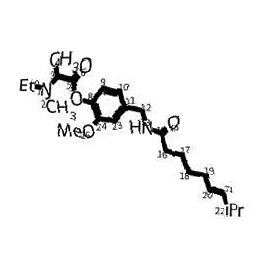 CCN(C)C(C)C(=O)Oc1ccc(CNC(=O)CCCC/C=C/C(C)C)cc1OC